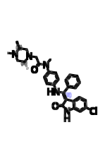 C[C@@H]1CN(C)[C@@H](C)CN1CC(=O)N(C)c1ccc(N/C(=C2\C(=O)Nc3cc(Cl)ccc32)c2ccccc2)cc1